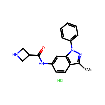 CSc1nn(-c2ccccc2)c2cc(NC(=O)C3CNC3)ccc12.Cl